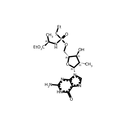 CCOC(=O)[C@@H](C)NP(=O)(OC[C@H]1O[C@@H](n2cnc3c(=O)[nH]c(N)nc32)[C@@H](C)[C@@H]1O)SCC